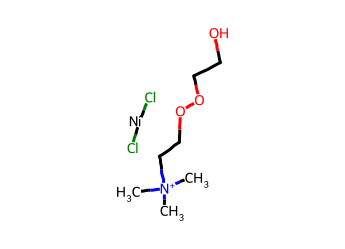 C[N+](C)(C)CCOOCCO.[Cl][Ni][Cl]